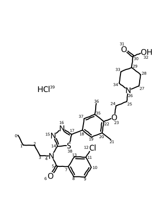 CCCCN(C(=O)c1cccc(Cl)c1)c1nnc(-c2cc(C)c(OCCN3CCC(C(=O)O)CC3)c(C)c2)s1.Cl